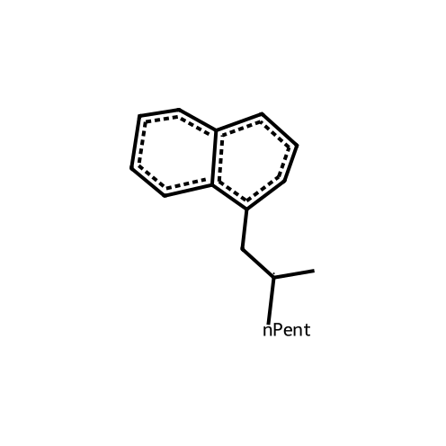 CCCCC[C](C)Cc1cccc2ccccc12